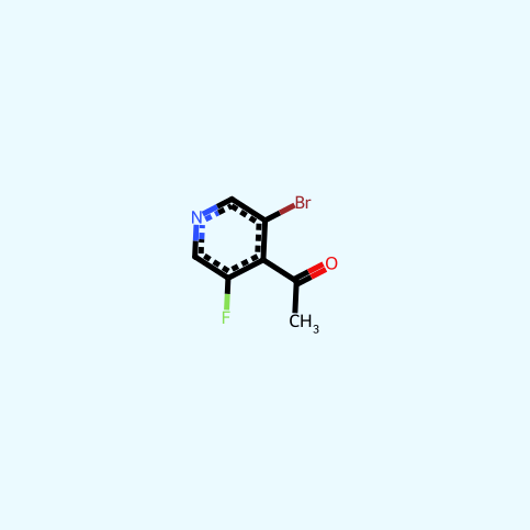 CC(=O)c1c(F)cncc1Br